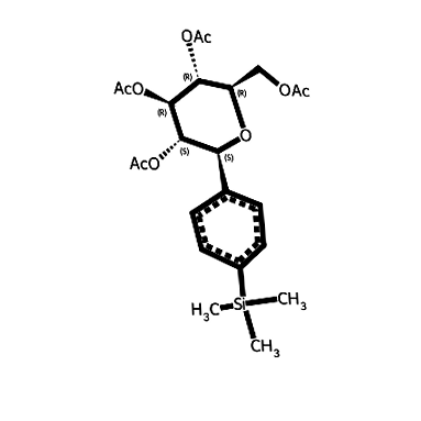 CC(=O)OC[C@H]1O[C@@H](c2ccc([Si](C)(C)C)cc2)[C@H](OC(C)=O)[C@@H](OC(C)=O)[C@@H]1OC(C)=O